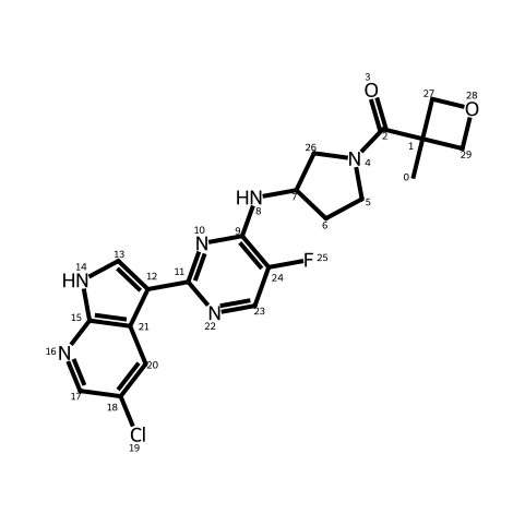 CC1(C(=O)N2CCC(Nc3nc(-c4c[nH]c5ncc(Cl)cc45)ncc3F)C2)COC1